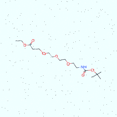 CCOC(=O)CCOCCOCCOCCNC(=O)OC(C)(C)C